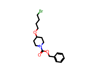 O=C(OCc1ccccc1)N1CCC(OCCCCBr)CC1